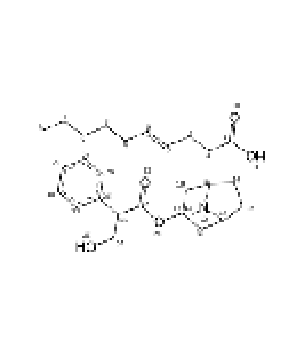 CCCCCC=CCCC(=O)O.CN1C2CCC1CC(OC(=O)C(CO)c1ccccc1)C2